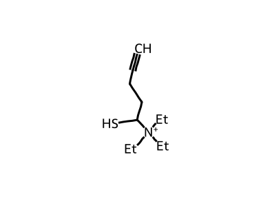 C#CCCC(S)[N+](CC)(CC)CC